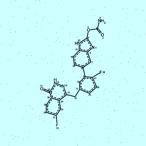 NC(=O)Oc1nc2cc(-c3cc(Cc4n[nH]c(=O)c5ccc(F)cc45)ccc3F)ccc2[nH]1